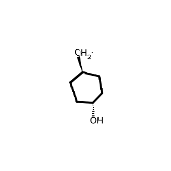 [CH2][C@H]1CC[C@H](O)CC1